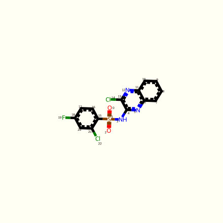 O=S(=O)(Nc1nc2ccccc2nc1Cl)c1ccc(F)cc1Cl